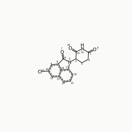 O=C1CCC(N2C(=O)c3cc(Cl)cc4cccc2c34)C(=O)N1